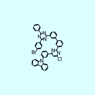 Clc1cc(-c2cccc(-n3c4ccccc4c4ccccc43)c2)nc(-c2cccc(-c3cccc(-c4nc(-c5ccccc5)nc(-c5ccc(Br)cc5)n4)c3)c2)n1